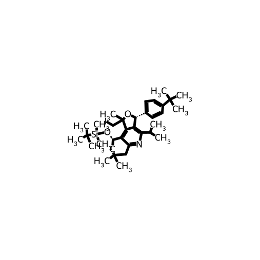 CC(C)c1nc2c(c3c1[C@@H](c1ccc(C(C)(C)C)cc1)OC3(C)CI)[C@@H](O[Si](C)(C)C(C)(C)C)CC(C)(C)C2